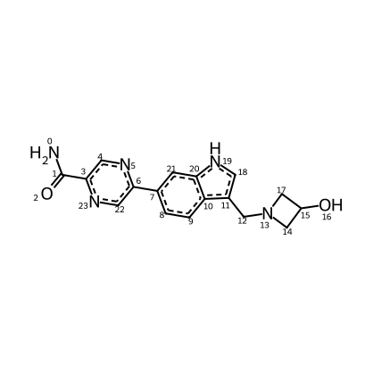 NC(=O)c1cnc(-c2ccc3c(CN4CC(O)C4)c[nH]c3c2)cn1